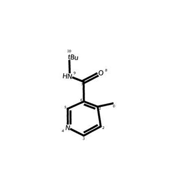 Cc1ccncc1C(=O)NC(C)(C)C